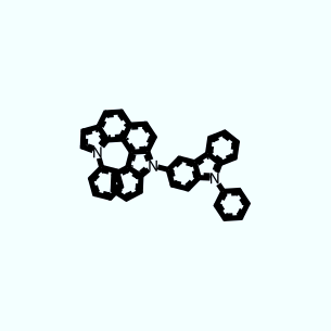 c1ccc(-n2ccc3ccc4ccc5c(c6ccccc6n5-c5ccc6c(c5)c5ccccc5n6-c5ccccc5)c4c32)cc1